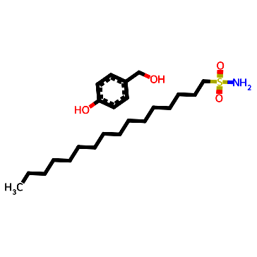 CCCCCCCCCCCCCCCCS(N)(=O)=O.OCc1ccc(O)cc1